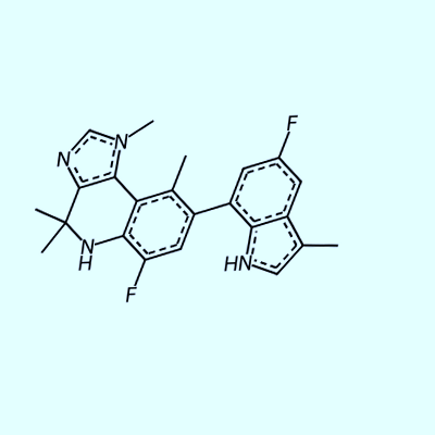 Cc1c(-c2cc(F)cc3c(C)c[nH]c23)cc(F)c2c1-c1c(ncn1C)C(C)(C)N2